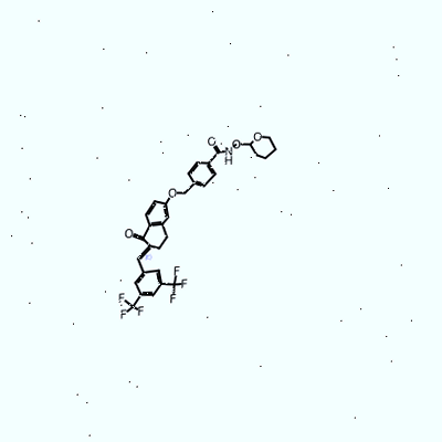 O=C(NOC1CCCCO1)c1ccc(COc2ccc3c(c2)CC/C(=C\c2cc(C(F)(F)F)cc(C(F)(F)F)c2)C3=O)cc1